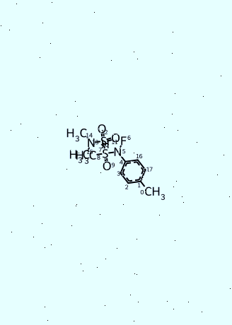 Cc1ccc(N(F)[SH](C)(=O)S(=O)(=O)N(C)C)cc1